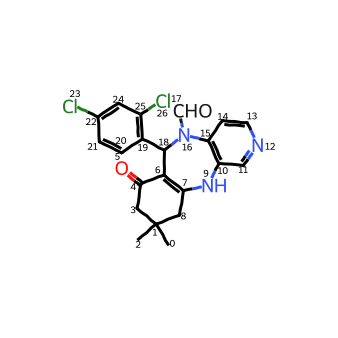 CC1(C)CC(=O)C2=C(C1)Nc1cnccc1N(C=O)C2c1ccc(Cl)cc1Cl